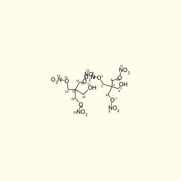 O=[N+]([O-])OCC(CO)(CO[N+](=O)[O-])CO[N+](=O)[O-].O=[N+]([O-])OCC(CO)(CO[N+](=O)[O-])CO[N+](=O)[O-]